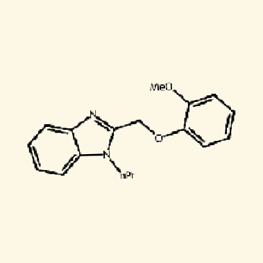 CCCn1c(COc2ccccc2OC)nc2ccccc21